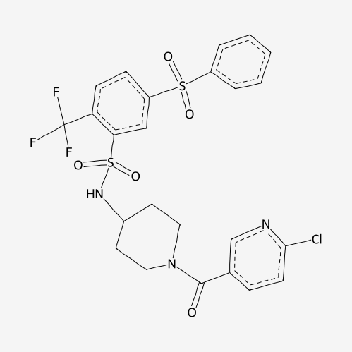 O=C(c1ccc(Cl)nc1)N1CCC(NS(=O)(=O)c2cc(S(=O)(=O)c3ccccc3)ccc2C(F)(F)F)CC1